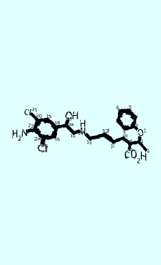 CC(Oc1ccccc1)C(CCCCNCC(O)c1cc(Cl)c(N)c(Cl)c1)C(=O)O